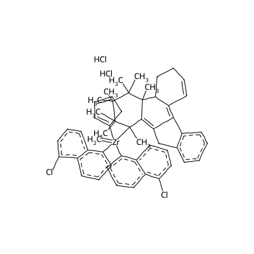 Cl.Cl.[CH2]=[Zr]([C]1=CC=CC1)([c]1cccc2c(Cl)cccc12)([c]1cccc2c(Cl)cccc12)[C]1(C)C2=C3Cc4ccccc4C3=C3C=CCCC3C2(C)C(C)(C)C(C)(C)C1(C)C